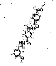 CCOC(=O)c1ccc(C(=O)NS(=O)(=O)c2ccc(C(=O)NCCc3cccc(OC)c3)cc2)cn1